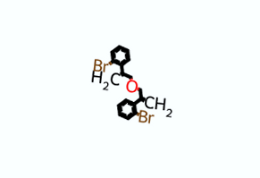 C=C(COCC(=C)c1ccccc1Br)c1ccccc1Br